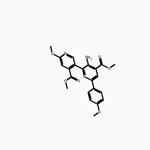 COC(=O)c1cc(OC)ncc1-c1nc(-c2ccc(OC)cc2)cc(C(=O)OC)c1N